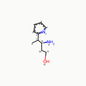 CC(c1ccccn1)[C@@H](N)CCO